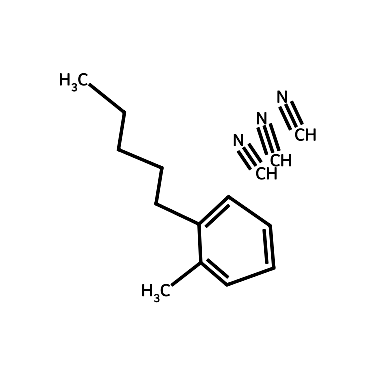 C#N.C#N.C#N.CCCCCc1ccccc1C